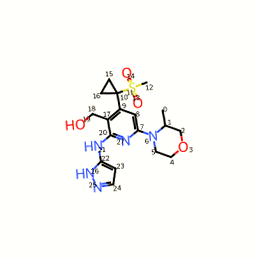 CC1COCCN1c1cc(C2(S(C)(=O)=O)CC2)c(CO)c(Nc2ccn[nH]2)n1